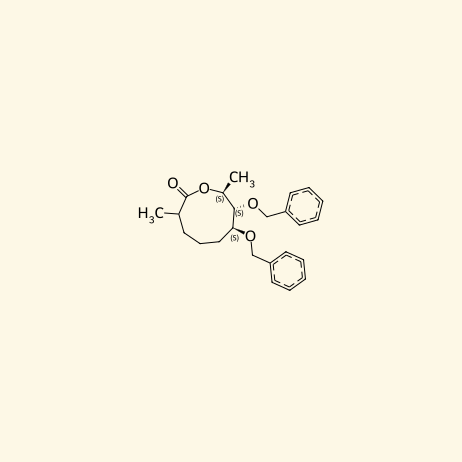 CC1CCC[C@H](OCc2ccccc2)[C@@H](OCc2ccccc2)[C@H](C)OC1=O